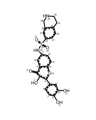 O=c1c(O)c(-c2ccc(O)c(O)c2)oc2ccc(NS(=O)(=O)c3ccc4c(c3)CNCC4)cc12